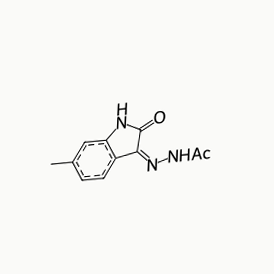 [CH2]C(=O)NN=C1C(=O)Nc2cc(C)ccc21